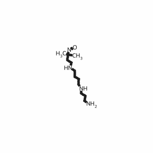 CC(C)(CCNCCCCNCCCN)N=O